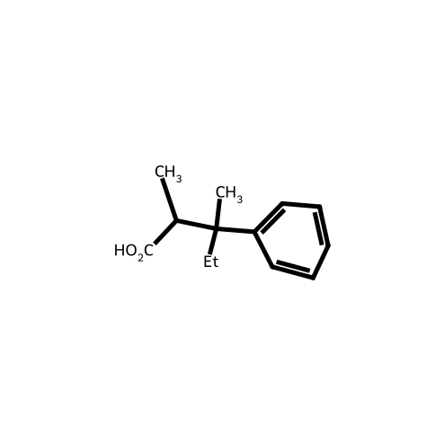 CCC(C)(c1ccccc1)C(C)C(=O)O